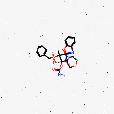 CC[C@](OC(N)=O)(C(=O)c1nc2ccccc2o1)C(C)(C(=O)N1CCOCC1)S(=O)(=O)Cc1ccccc1